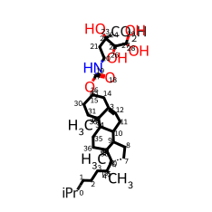 CC(C)CCC[C@H](C)[C@H]1CCC2C3CC=C4C[C@@H](OC(=O)NCCC(O)(C(=O)O)C(O)C(O)O)CC[C@]4(C)C3CC[C@@]21C